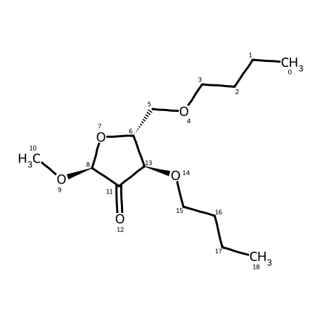 CCCCOC[C@H]1O[C@H](OC)C(=O)[C@@H]1OCCCC